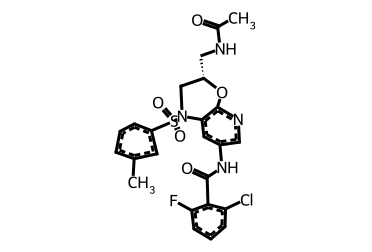 CC(=O)NC[C@H]1CN(S(=O)(=O)c2cccc(C)c2)c2cc(NC(=O)c3c(F)cccc3Cl)cnc2O1